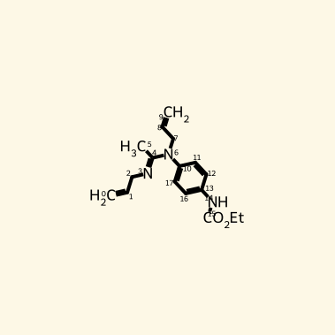 C=CCN=C(C)N(CC=C)c1ccc(NC(=O)OCC)cc1